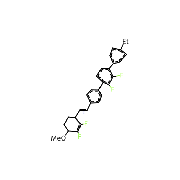 CCc1ccc(-c2ccc(-c3ccc(/C=C/C4CCC(OC)C(F)=C4F)cc3)c(F)c2F)cc1